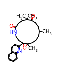 CC1CCCC2(C)OC2(c2ccc3ccccc3n2)CCNC(=O)CCC(C)(C)C(=O)CC1